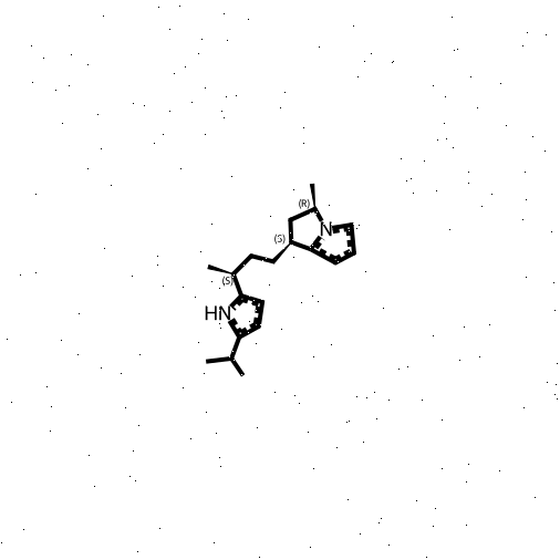 CC(C)c1ccc([C@@H](C)CC[C@H]2C[C@@H](C)n3cccc32)[nH]1